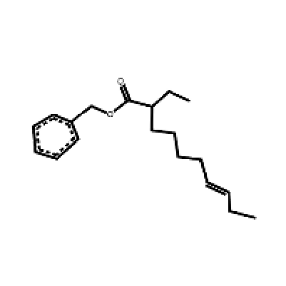 CCC=CCCCCC(CC)C(=O)OCc1ccccc1